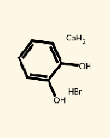 Br.Oc1ccccc1O.[CaH2]